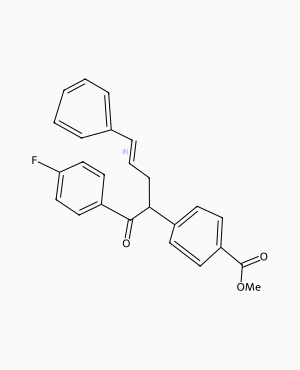 COC(=O)c1ccc(C(C/C=C/c2ccccc2)C(=O)c2ccc(F)cc2)cc1